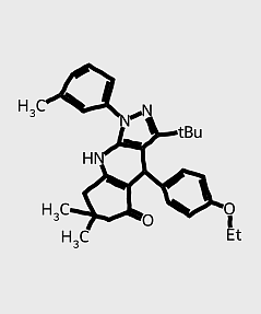 CCOc1ccc(C2C3=C(CC(C)(C)CC3=O)Nc3c2c(C(C)(C)C)nn3-c2cccc(C)c2)cc1